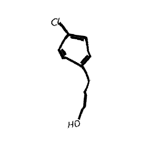 OCC[CH]c1ccc(Cl)cc1